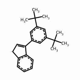 CC(C)(C)c1cc(C2=C[CH]c3ccccc32)cc(C(C)(C)C)c1